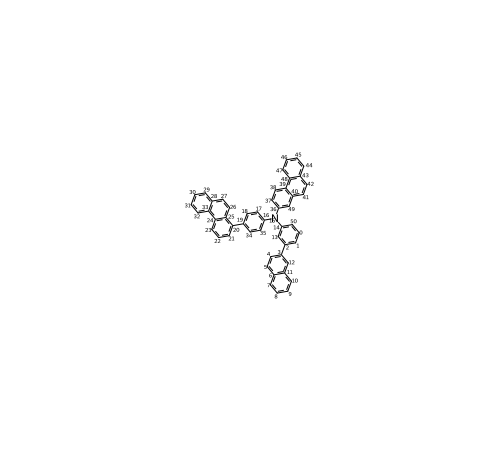 c1cc(-c2ccc3ccccc3c2)cc(N(c2ccc(-c3cccc4c3ccc3ccccc34)cc2)c2ccc3c(ccc4ccccc43)c2)c1